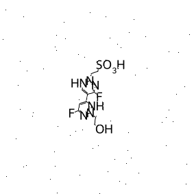 O=S(=O)(O)CCN1N=C(F)C(C2=CC(F)=NN(CCO)N2)=CN1